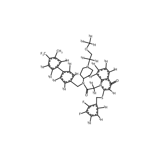 [2H]c1c([2H])c(F)c(F)c(CSc2c([2H])c(=O)c3c([2H])c([2H])c([2H])c([2H])c3n2C([2H])([2H])C(=O)N(Cc2c([2H])c([2H])c(-c3c([2H])c([2H])c(C(F)(F)F)c(C)c3[2H])c([2H])c2[2H])C2CCN(C([2H])([2H])COC([2H])([2H])[2H])CC2)c1[2H]